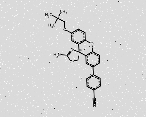 CC(C)(C)COc1ccc2c(c1)[C@@]1(COC(N)=N1)c1cc(-c3ccc(C#N)cc3)ccc1O2